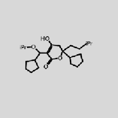 CC(C)CCC1(C2CCCC2)CC(O)=C(C(OC(C)C)C2CCCC2)C(=O)O1